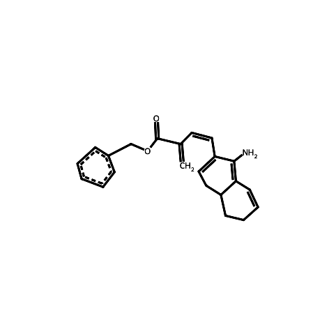 C=C(/C=C\C1=CCC2CCC=CC2=C1N)C(=O)OCc1ccccc1